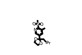 Cc1cc(C2(CC(C)C)OCCO2)cnc1S(C)(=O)=O